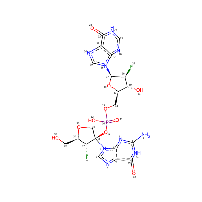 Nc1nc2c(ncn2[C@@]2(OP(=O)(O)OC[C@H]3O[C@@H](n4cnc5c(=O)[nH]cnc54)[C@@H](F)[C@@H]3O)CO[C@H](CO)[C@H]2F)c(=O)[nH]1